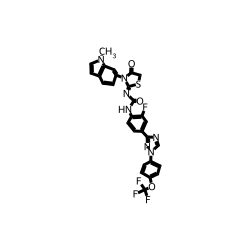 Cn1ccc2ccc(N3C(=O)CSC3=NC(=O)Nc3ccc(-c4ncn(-c5ccc(OC(F)(F)F)cc5)n4)cc3F)cc21